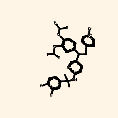 CC(C)(Nc1ccc(C(Cc2cc[n+]([O-])cc2)c2ccc(OC(F)F)c(OC(F)F)c2)cn1)c1ccc(F)c(F)c1